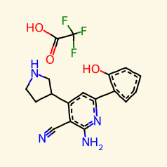 N#Cc1c(C2CCNC2)cc(-c2ccccc2O)nc1N.O=C(O)C(F)(F)F